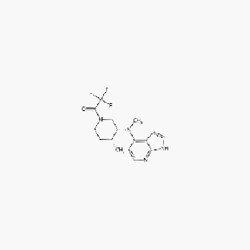 C[C@@H]1CCN(C(=O)C(F)(F)F)C[C@@H]1N(C)c1ccnc2[nH]ccc12